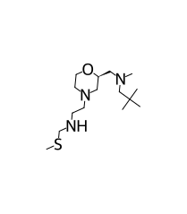 CSCNCCN1CCO[C@@H](CN(C)CC(C)(C)C)C1